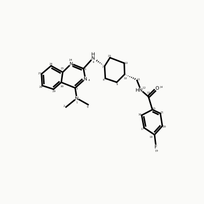 CN(C)c1nc(N[C@H]2CC[C@@H](CNC(=O)c3ccc(F)cc3)CC2)nc2ccccc12